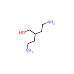 NCCC(CO)CCN